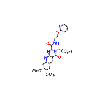 CCOC(=O)Cn1c(C(=O)NCCOc2ccccn2)nc2nc3cc(OC)c(OC)cc3cc2c1=O